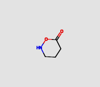 O=C1CCCNO1